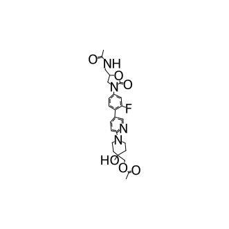 CC(=O)NCC1CN(c2ccc(-c3ccc(N4CCC(O)(COC(C)=O)CC4)nc3)c(F)c2)C(=O)O1